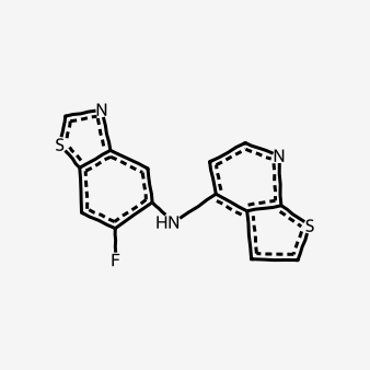 Fc1cc2scnc2cc1Nc1ccnc2sccc12